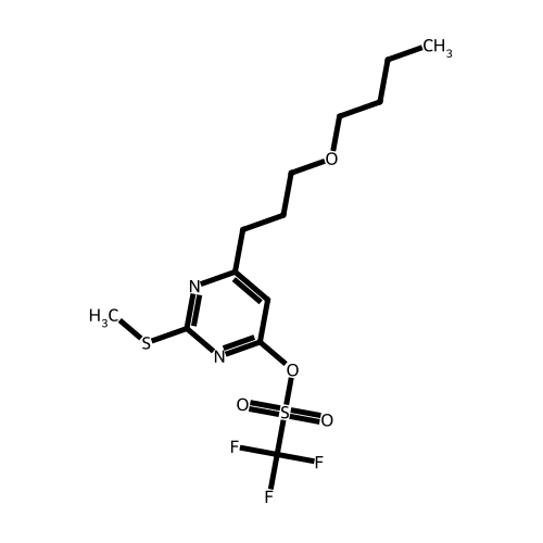 CCCCOCCCc1cc(OS(=O)(=O)C(F)(F)F)nc(SC)n1